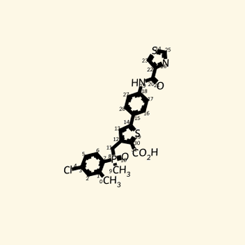 Cc1cc(Cl)ccc1P(C)(=O)Cc1cc(-c2ccc(NC(=O)c3cscn3)cc2)sc1C(=O)O